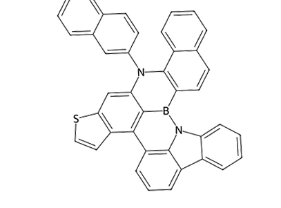 c1ccc2cc(N3c4cc5sccc5c5c4B(c4ccc6ccccc6c43)n3c4ccccc4c4cccc-5c43)ccc2c1